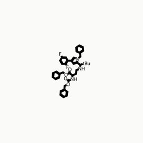 CC(C)(C)C(NCCC(NC(=O)OCc1ccccc1)C(=O)OCc1ccccc1)c1cc(-c2cc(F)ccc2F)cn1Cc1ccccc1